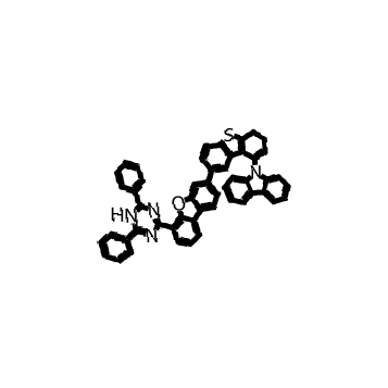 C1=C(n2c3ccccc3c3ccccc32)c2c(sc3ccc(-c4ccc5c(c4)oc4c(C6=NC(c7ccccc7)NC(c7ccccc7)=N6)cccc45)cc23)CC1